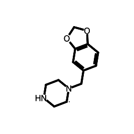 [CH]1CNCCN1Cc1ccc2c(c1)OCO2